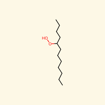 CCCCCCCC(CCCC)OO